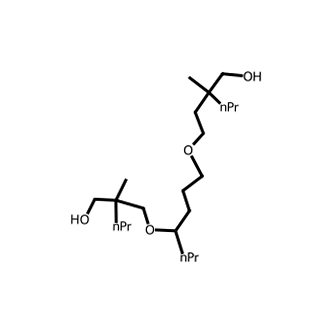 CCCC(CCCOCCC(C)(CO)CCC)OCC(C)(CO)CCC